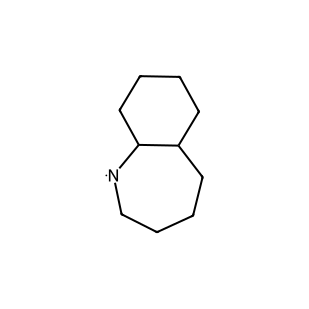 C1CCC2CCCCC2[N]C1